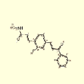 O=C(C=Cc1ccc(C=CC(=O)c2ccccc2)cc1F)NO